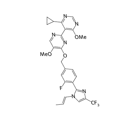 CC=Cn1cc(C(F)(F)F)nc1-c1ccc(COc2nc(-c3c(OC)ncnc3C3CC3)ncc2OC)cc1F